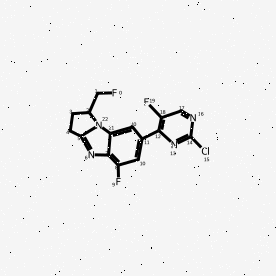 FC[C]1CCc2nc3c(F)cc(-c4nc(Cl)ncc4F)cc3n21